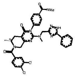 CNC(=O)c1ccc(-n2c(N(C)Cc3n[nH]c(-c4ccccc4)n3)nc3c(c2=O)C[C@@H](C)N(C(=O)c2ccc(Cl)c(Cl)c2)C3)cc1